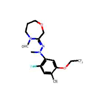 CN(/N=C1/COCCCN1C=O)c1cc(OCC(F)(F)F)c(C#N)cc1F